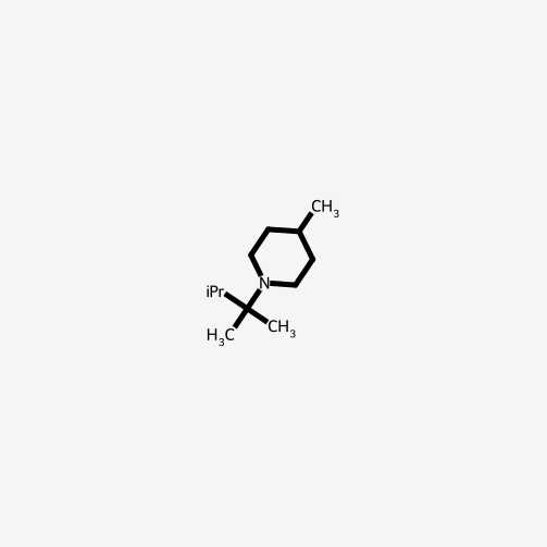 CC1CCN(C(C)(C)C(C)C)CC1